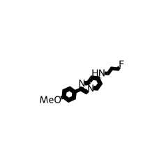 COc1ccc(-c2cn3ccc(NCCCF)cc3n2)cc1